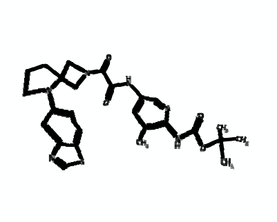 Cc1cc(NC(=O)C(=O)N2CC3(CCCN3c3ccc4scnc4c3)C2)cnc1NC(=O)OC(C)(C)C